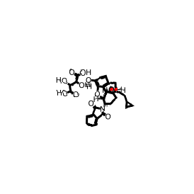 O=C(O)C(O)C(O)C(=O)O.O=C1c2ccccc2C(=O)N1[C@H]1CCC2(O)[C@H]3Cc4ccc(O)c5c4[C@@]2(CCN3CC2CC2)[C@H]1O5